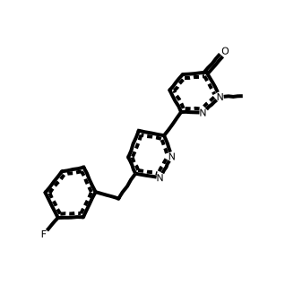 Cn1nc(-c2ccc(Cc3cccc(F)c3)nn2)ccc1=O